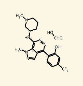 CN1CCC[C@@H](Nc2nnc(-c3ccc(C(F)(F)F)cc3O)c3cnn(C)c23)C1.O=CO